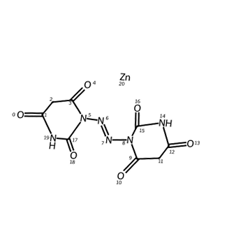 O=C1CC(=O)N(N=NN2C(=O)CC(=O)NC2=O)C(=O)N1.[Zn]